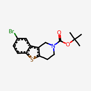 CC(C)(C)OC(=O)N1CCc2sc3ccc(Br)cc3c2C1